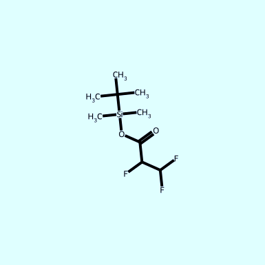 CC(C)(C)[Si](C)(C)OC(=O)C(F)C(F)F